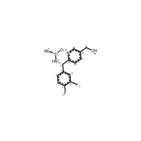 CC(C)(C)[S@@+]([O-])N[C@@H](c1ccc(F)c(F)c1)c1ccc(CO)cn1